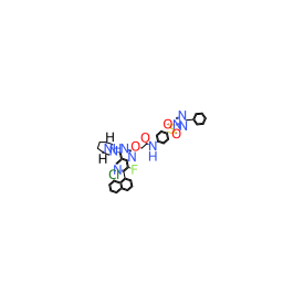 O=C(COc1nc(N2C[C@H]3CC[C@@H](C2)N3)c2cnc(-c3cccc4cccc(Cl)c34)c(F)c2n1)Nc1ccc(S(=O)(=O)n2cnc(-c3ccccc3)n2)cc1